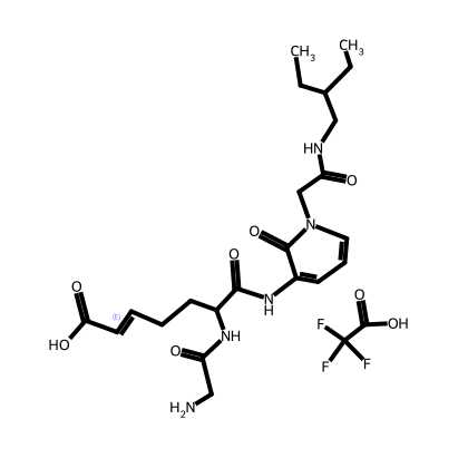 CCC(CC)CNC(=O)Cn1cccc(NC(=O)C(CC/C=C/C(=O)O)NC(=O)CN)c1=O.O=C(O)C(F)(F)F